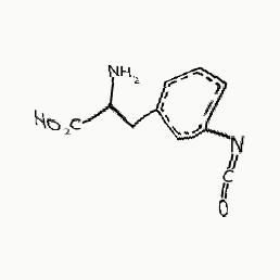 NC(Cc1cccc(N=C=O)c1)C(=O)O